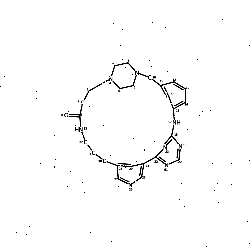 O=C1CCN2CCN(CC2)Cc2cccc(c2)Nc2ncnc(n2)-c2cncc(c2)CCCN1